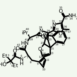 CCC(O)(CC)C(=O)N[C@H]1Cc2ccc3c(c2)C2(c4ccccc4NC2O3)c2oc(nc2-c2nc(C(N)=O)c(C)o2)[C@H](C(C)C)NC1=O